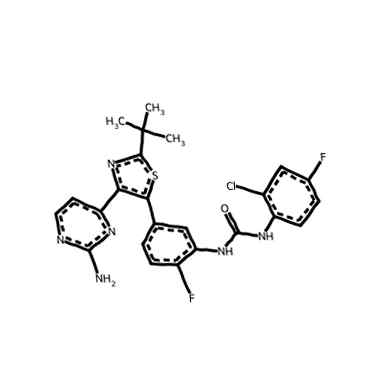 CC(C)(C)c1nc(-c2ccnc(N)n2)c(-c2ccc(F)c(NC(=O)Nc3ccc(F)cc3Cl)c2)s1